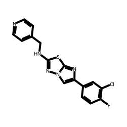 Fc1ccc(-c2cn3nc(NCc4ccncc4)sc3n2)cc1Cl